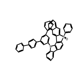 O=P1(c2ccccc2)c2cc3ccccc3cc2-c2c1ccc1c3ccccc3n(-c3cc(-c4ccccc4)cc(-c4ccc(-c5ccccc5)cc4)c3)c21